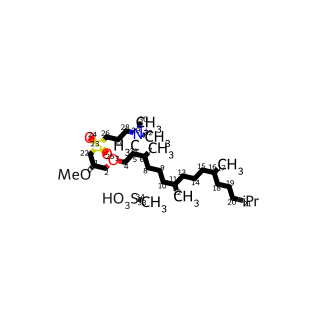 COC(COCCC(C)CCCC(C)CCCC(C)CCCC(C)C)CS(=O)(=O)CCC[N+](C)(C)C.CS(=O)(=O)O